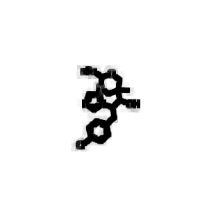 CCCCC1OCC(C)(C(O)C(Cc2ccc(Cl)cc2)n2cncn2)CO1